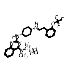 CN(C)c1nc(N[C@H]2CC[C@@H](NCCc3ccccc3OC(F)(F)F)CC2)nc2ccccc12.Cl.Cl